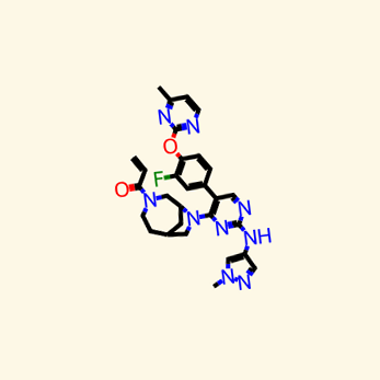 C=CC(=O)N1CCC2CC(C1)N(c1nc(Nc3cnn(C)c3)ncc1-c1ccc(Oc3nccc(C)n3)c(F)c1)C2